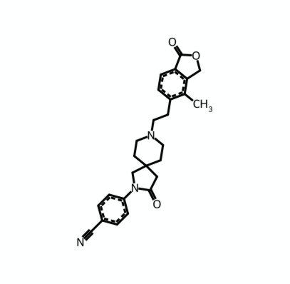 Cc1c(CCN2CCC3(CC2)CC(=O)N(c2ccc(C#N)cc2)C3)ccc2c1COC2=O